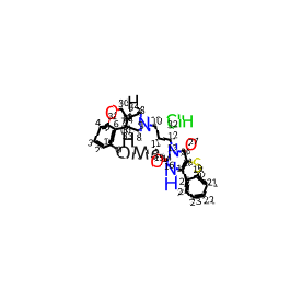 COc1cccc2c1[C@@H]1CN(CCCn3c(=O)[nH]c4c(sc5ccccc54)c3=O)C[C@@H]1CO2.Cl